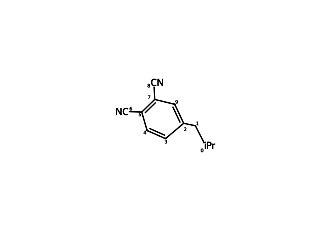 CC(C)Cc1ccc(C#N)c(C#N)c1